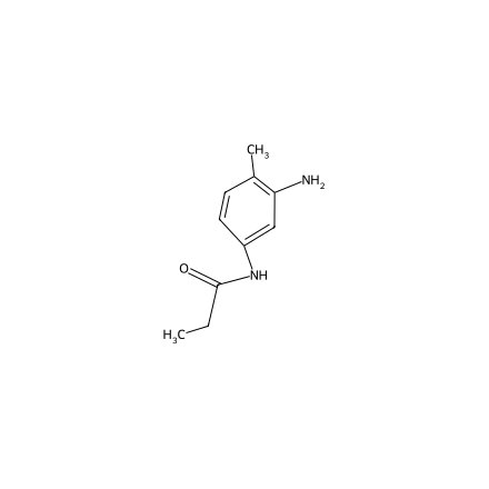 CCC(=O)Nc1ccc(C)c(N)c1